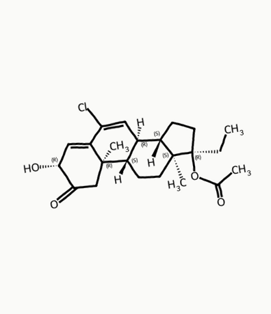 CC[C@@]1(OC(C)=O)CC[C@H]2[C@@H]3C=C(Cl)C4=C[C@@H](O)C(=O)C[C@]4(C)[C@H]3CC[C@@]21C